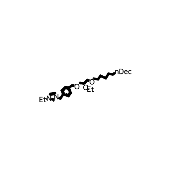 CCCCCCCCCCCCCCCCOCC(COCc1ccc(CN2[CH]N(CC)C=C2)cc1)OCC